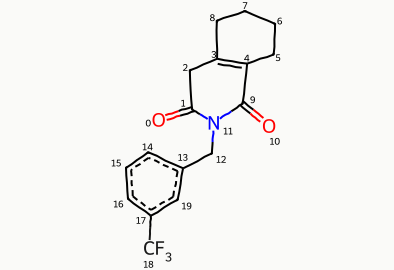 O=C1CC2=C(CCCC2)C(=O)N1Cc1cccc(C(F)(F)F)c1